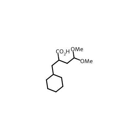 COC(CC(CC1CCCCC1)C(=O)O)OC